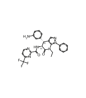 CCN1C(=O)[C@@H](NC(=O)c2nccc(C(F)(F)F)n2)[C@H](c2cccc(N)c2)c2cnn(-c3ccccc3)c21